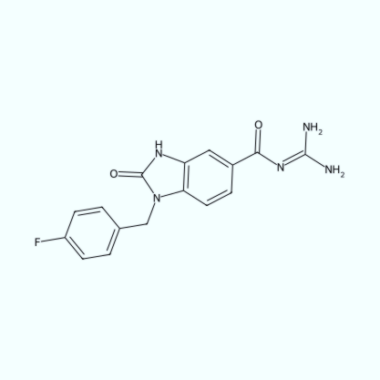 NC(N)=NC(=O)c1ccc2c(c1)[nH]c(=O)n2Cc1ccc(F)cc1